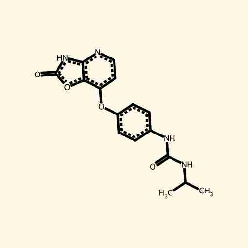 CC(C)NC(=O)Nc1ccc(Oc2ccnc3[nH]c(=O)oc23)cc1